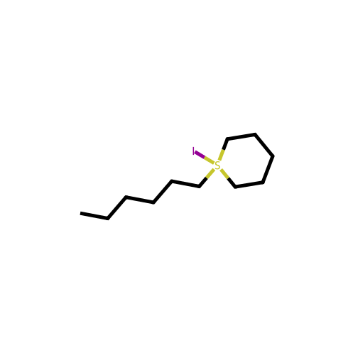 CCCCCCS1(I)CCCCC1